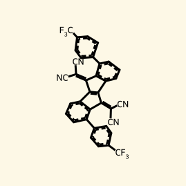 N#CC(C#N)=C1C2=C(C(=C(C#N)C#N)c3c2cccc3-c2ccc(C(F)(F)F)cc2)c2cccc(-c3ccc(C(F)(F)F)cc3)c21